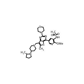 COc1ncc(-c2nc(N3CCOCC3)nc3c(CN4CCC(N5CCC[C@H]5C)CC4)c(C)sc23)cc1NS(C)(=O)=O